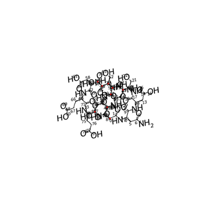 CC(=O)N[C@H](CC(N)=O)C(=O)N[C@H](CC(=O)O)C(=O)N[C@H](CO)C(=O)N[C@H](CCC(=O)O)C(=O)N[C@H](CC(=O)O)C(=O)N[C@H](CC(N)=O)C(=O)N[C@H](CO)C(=O)N[C@H](CC(=O)O)C(=O)N[C@H](CCC(=O)O)C(=O)N[C@H](CCC(=O)O)C(=O)N[C@H](C)C(N)=O